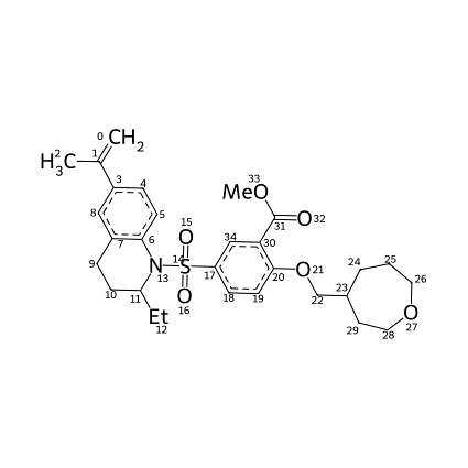 C=C(C)c1ccc2c(c1)CCC(CC)N2S(=O)(=O)c1ccc(OCC2CCCOCC2)c(C(=O)OC)c1